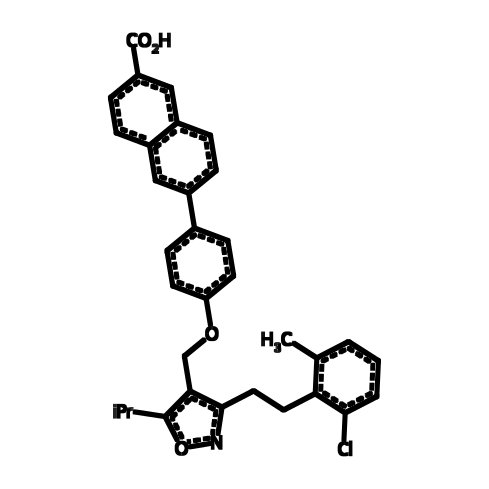 Cc1cccc(Cl)c1CCc1noc(C(C)C)c1COc1ccc(-c2ccc3cc(C(=O)O)ccc3c2)cc1